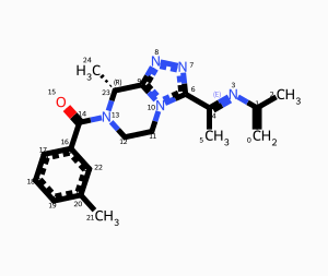 C=C(C)/N=C(\C)c1nnc2n1CCN(C(=O)c1cccc(C)c1)[C@@H]2C